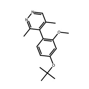 COc1cc(OC(C)(C)C)ccc1-c1c(C)cnnc1C